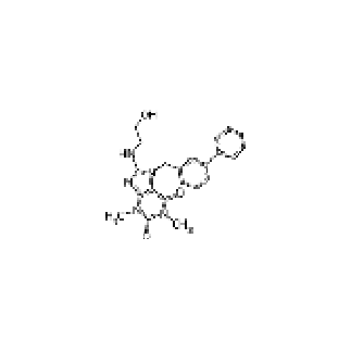 Cn1c(=O)c2c(nc(NCCO)n2Cc2cccc(-c3ccccc3)c2)n(C)c1=O